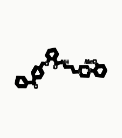 COc1ccccc1N1CCN(CCCNC(=O)c2ccccc2OCc2ccc(C(=O)c3ccccc3)cc2)CC1